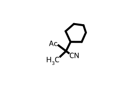 CC(=O)C(C)(C#N)C1CCCCC1